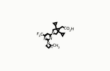 C[C@H]1CCN1c1nc(N2CC3(C4CC4)C(CC(=O)O)C3(C3CC3)C2)cc(C(F)(F)F)n1